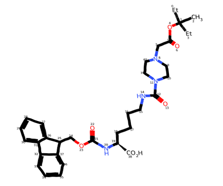 CCC(C)(CC)OC(=O)CN1CCN(C(=O)NCCCC[C@H](NC(=O)OCC2c3ccccc3-c3ccccc32)C(=O)O)CC1